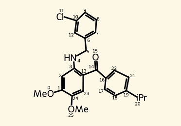 COc1cc(NCc2cccc(Cl)c2)c(C(=O)c2ccc(C(C)C)cc2)cc1OC